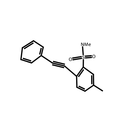 CNS(=O)(=O)c1cc(C)ccc1C#Cc1ccccc1